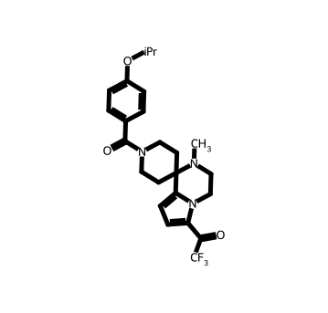 CC(C)Oc1ccc(C(=O)N2CCC3(CC2)c2ccc(C(=O)C(F)(F)F)n2CCN3C)cc1